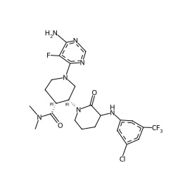 CN(C)C(=O)[C@@H]1CCN(c2ncnc(N)c2F)C[C@@H]1N1CCCC(Nc2cc(Cl)cc(C(F)(F)F)c2)C1=O